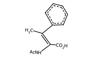 CC(=O)NC(C(=O)O)=C(C)c1ccccc1